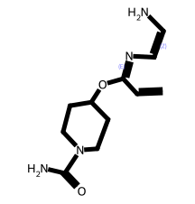 C=C/C(=N\C=C/N)OC1CCN(C(N)=O)CC1